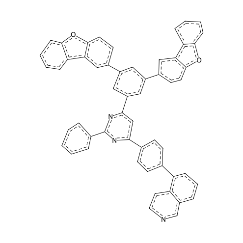 c1ccc(-c2nc(-c3ccc(-c4cccc5cnccc45)cc3)cc(-c3cc(-c4ccc5oc6ccccc6c5c4)cc(-c4ccc5oc6ccccc6c5c4)c3)n2)cc1